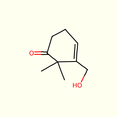 CC1(C)C(=O)CCC=C1CO